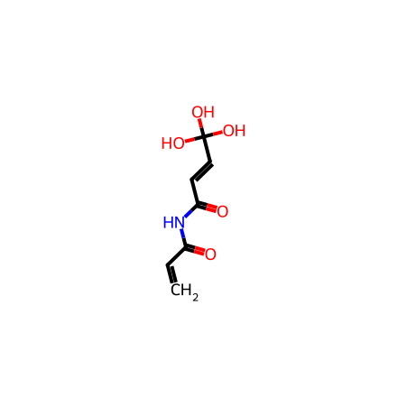 C=CC(=O)NC(=O)C=CC(O)(O)O